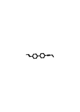 CC=CC1CCC(C2CCC(C#CCC)CC2)CC1